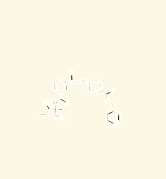 COC(=O)[C@@](C)(N)NC(=O)[C@@H]1CCCN(C(=O)CCC2CCN(C(=O)OCc3ccccc3)CC2)C1